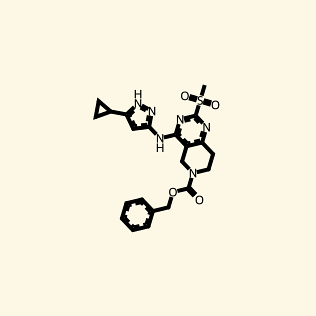 CS(=O)(=O)c1nc2c(c(Nc3cc(C4CC4)[nH]n3)n1)CN(C(=O)OCc1ccccc1)CC2